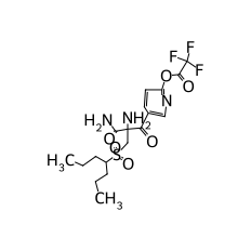 CCCC(CCC)S(=O)(=O)CC(N)(C(N)=O)C(=O)c1ccc(OC(=O)C(F)(F)F)nc1